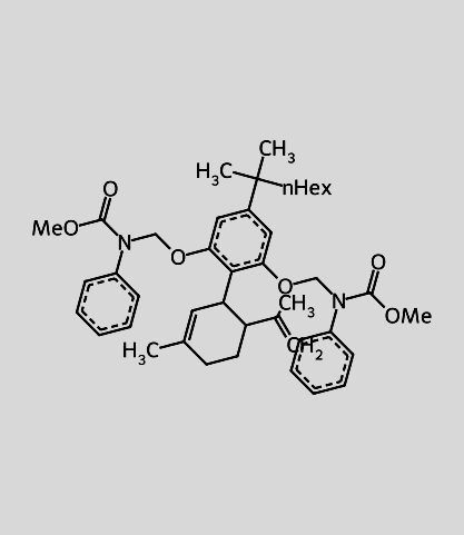 C=C(C)C1CCC(C)=CC1c1c(OCN(C(=O)OC)c2ccccc2)cc(C(C)(C)CCCCCC)cc1OCN(C(=O)OC)c1ccccc1